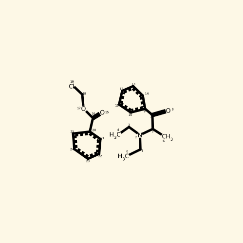 CCN(CC)C(C)C(=O)c1ccccc1.O=C(OCCl)c1ccccc1